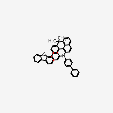 CC1(C)c2ccc(-c3cccc4c3sc3ccccc34)cc2-c2c(N(c3ccccc3)c3ccc(-c4ccccc4)cc3)ccc3cccc1c23